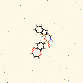 O=S(=O)(/N=C\c1cc2ccccc2s1)c1ccc2c(c1)OCCCO2